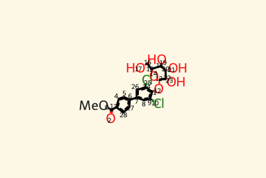 COC(=O)c1ccc(-c2cc(Cl)c(O[C@H]3OC(CO)[C@@H](O)[C@H](O)C3O)c(Cl)c2)cc1